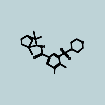 Cc1cc(C(=O)NC2C3(C)CCC(C3)C2(C)C)cc(S(=O)(=O)N2CCOCC2)c1C